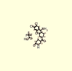 NC(c1cc(Cl)c(Cl)cc1O)C1CCN(C(=O)C2CCC(=O)NC2)CC1.O=C(O)C(F)(F)F